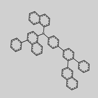 c1ccc(-c2ccc(-c3ccc(N(c4cccc5ccccc45)c4ccc(-c5ccccc5)c5ccccc45)cc3)cc2-c2ccc3ccccc3c2)cc1